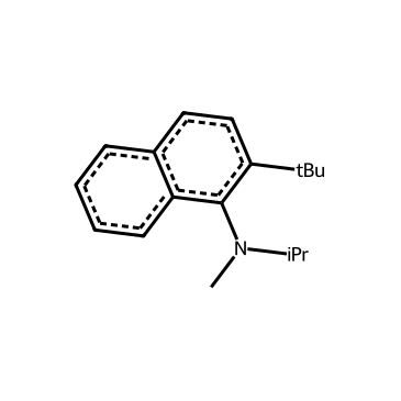 CC(C)N(C)c1c(C(C)(C)C)ccc2ccccc12